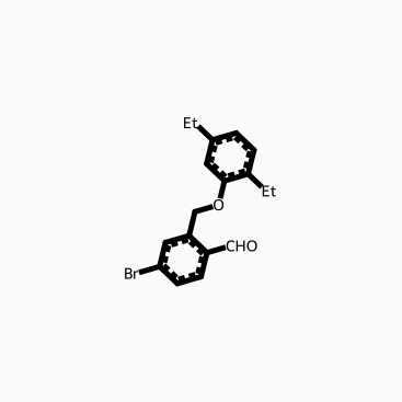 CCc1ccc(CC)c(OCc2cc(Br)ccc2C=O)c1